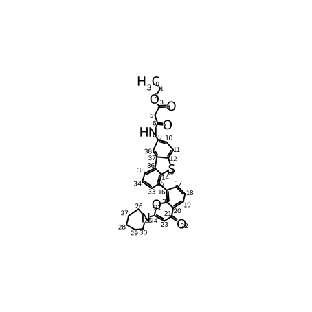 CCOC(=O)CC(=O)Nc1ccc2sc3c(-c4cccc5c(=O)cc(N6CCCCC6)oc45)cccc3c2c1